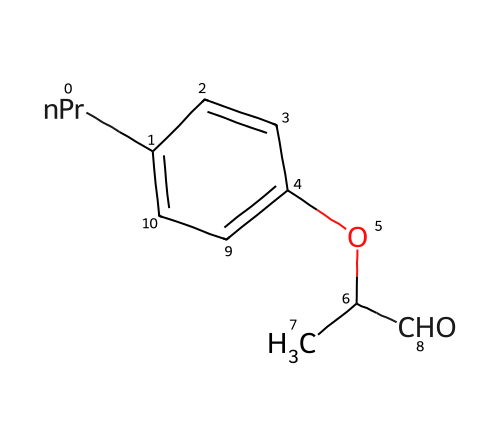 CCCc1ccc(OC(C)C=O)cc1